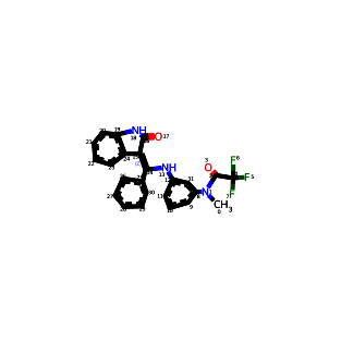 CN(C(=O)C(F)(F)F)c1cccc(N/C(=C2\C(=O)Nc3ccccc32)c2ccccc2)c1